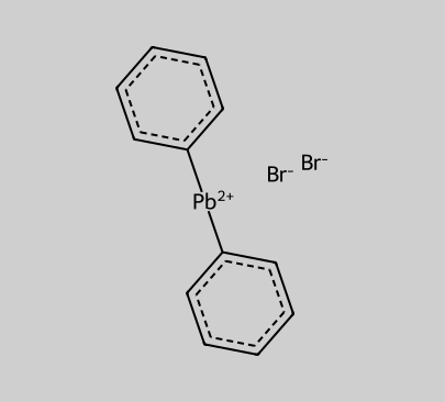 [Br-].[Br-].c1cc[c]([Pb+2][c]2ccccc2)cc1